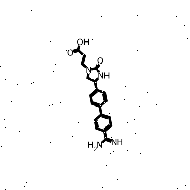 N=C(N)c1ccc(-c2ccc(C3CN(CCC(=O)O)C(=O)N3)cc2)cc1